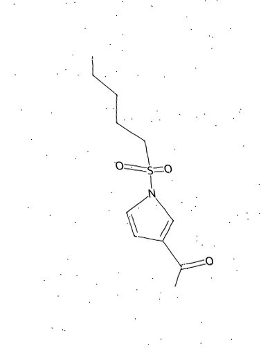 CCCCCS(=O)(=O)n1ccc(C(C)=O)c1